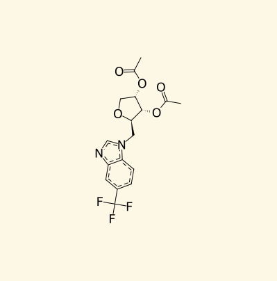 CC(=O)O[C@H]1[C@@H](OC(C)=O)CO[C@@H]1Cn1cnc2cc(C(F)(F)F)ccc21